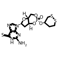 Nc1nc2c(ncn2[C@H]2C[C@@H]3O[P@](=O)(O[C@H]4CCSSC4)OC[C@H]3O2)c(=S)[nH]1